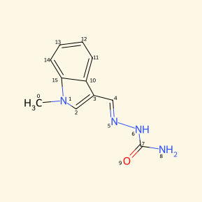 Cn1cc(C=NNC(N)=O)c2ccccc21